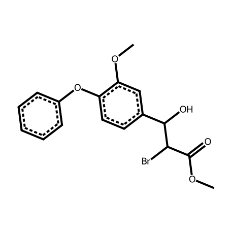 COC(=O)C(Br)C(O)c1ccc(Oc2ccccc2)c(OC)c1